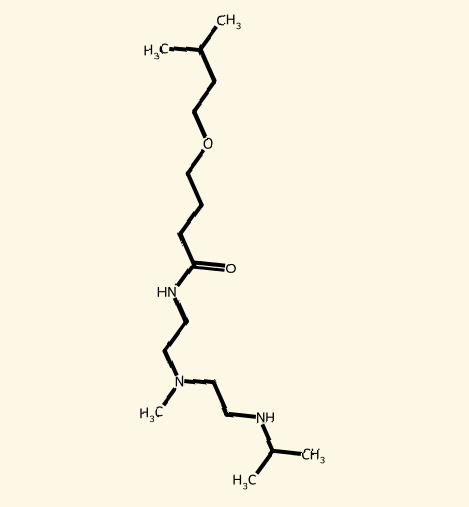 CC(C)CCOCCCC(=O)NCCN(C)CCNC(C)C